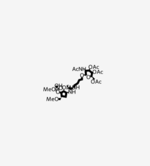 COC[C@H]1C[C@H](NC(=S)NCCCCO[C@@H]2O[C@H](COC(C)=O)[C@H](OC(C)=O)[C@H](OC(C)=O)[C@H]2NC(C)=O)[C@@H](OC)C1OP(=O)(O)OC